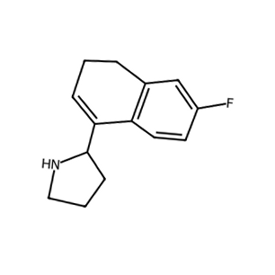 Fc1ccc2c(c1)CCC=C2C1CCCN1